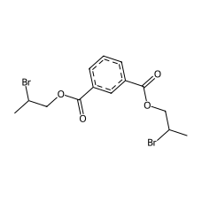 CC(Br)COC(=O)c1cccc(C(=O)OCC(C)Br)c1